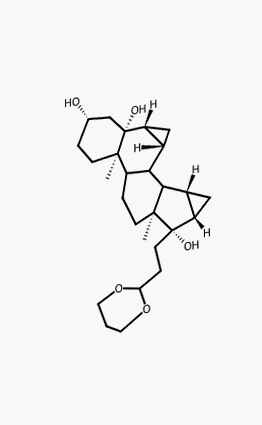 C[C@]12CCC3C(C1[C@@H]1C[C@@H]1[C@@]2(O)CCC1OCCCO1)[C@H]1C[C@H]1[C@]1(O)C[C@@H](O)CC[C@]31C